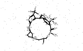 CN1CCC(F)CN[C@H]2CC[C@@H](C2)Nc2ncc(C(F)(F)F)c(n2)-c2c[nH]c3c(P(C)(C)=O)c(ccc23)C1=O